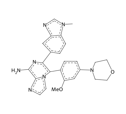 COc1cc(N2CCOCC2)ccc1-c1c(-c2ccc3c(c2)ncn3C)nc(N)c2nccn12